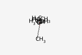 CCCCCCCCCCCCCCCCCC(=O)OC(C(O)CC)(C(O)CC)C(O)CC